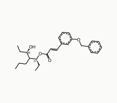 CCCC([C@H](O)CC)[C@H](CC)OC(=O)C=Cc1cccc(OCc2ccccc2)c1